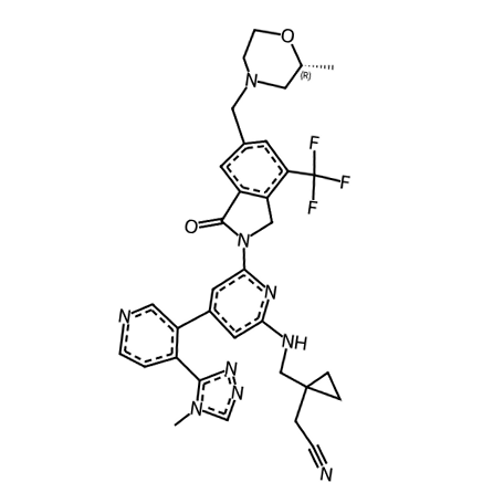 C[C@@H]1CN(Cc2cc3c(c(C(F)(F)F)c2)CN(c2cc(-c4cnccc4-c4nncn4C)cc(NCC4(CC#N)CC4)n2)C3=O)CCO1